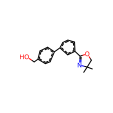 CC1(C)COC(c2cccc(-c3ccc(CO)cc3)c2)=N1